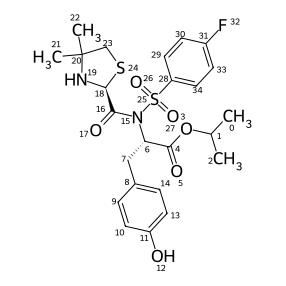 CC(C)OC(=O)[C@H](Cc1ccc(O)cc1)N(C(=O)[C@H]1NC(C)(C)CS1)S(=O)(=O)c1ccc(F)cc1